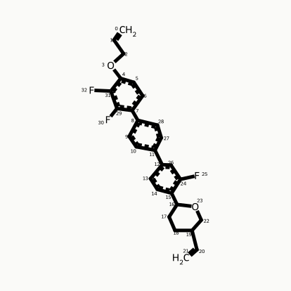 C=CCOc1ccc(-c2ccc(-c3ccc(C4CCC(C=C)CO4)c(F)c3)cc2)c(F)c1F